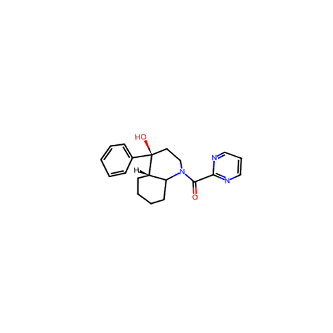 O=C(c1ncccn1)N1CC[C@@](O)(c2ccccc2)[C@H]2CCCCC21